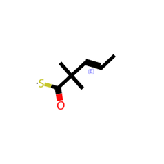 C/C=C/C(C)(C)C(=O)[S]